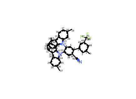 Cc1cc(-c2cc(-n3c4cc(C)ccc4c4ccc(C)cc43)c(-n3c4cc(C)ccc4c4ccc(C)cc43)cc2C#N)cc(C(F)(F)F)c1